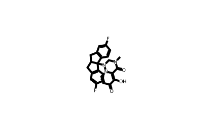 CN1CN(C23c4ccc(F)cc4CC2Cc2cc(F)ccc23)n2ccc(=O)c(O)c2C1=O